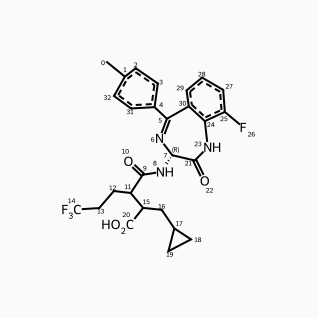 Cc1ccc(C2=N[C@@H](NC(=O)C(CCC(F)(F)F)C(CC3CC3)C(=O)O)C(=O)Nc3c(F)cccc32)cc1